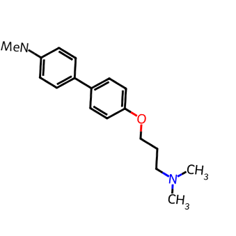 CNc1ccc(-c2ccc(OCCCN(C)C)cc2)cc1